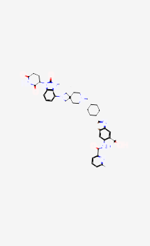 Cn1c(=O)n(C2CCC(=O)NC2=O)c2cccc(N3CC4(CCN(C[C@H]5CC[C@H](c6nc7cc(C(C)(C)O)c(NC(=O)c8cccc(C(F)(F)F)n8)cc7s6)CC5)CC4)C3)c21